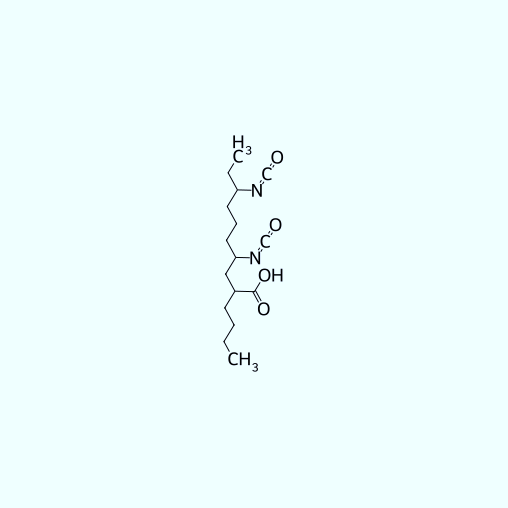 CCCCC(CC(CCCC(CC)N=C=O)N=C=O)C(=O)O